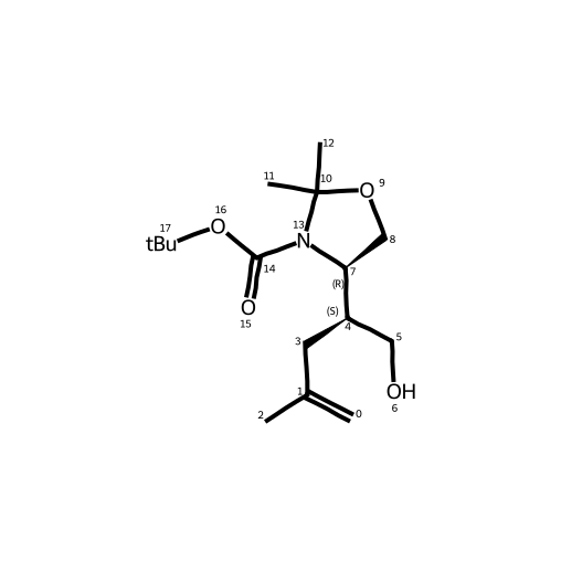 C=C(C)C[C@H](CO)[C@@H]1COC(C)(C)N1C(=O)OC(C)(C)C